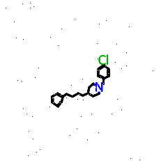 Clc1ccc(CN2CCC(CCCCc3ccccc3)CC2)cc1